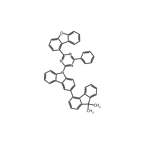 CC1(C)c2ccccc2-c2c(-c3ccc4c(c3)c3ccccc3n4-c3nc(-c4ccccc4)nc(-c4cccc5oc6ccccc6c45)n3)cccc21